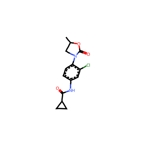 CC1CN(c2ccc(NC(=O)C3CC3)cc2Cl)C(=O)O1